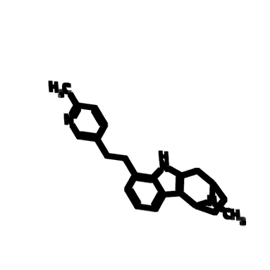 Cc1ccc(CCc2cccc3c4c([nH]c23)CC2CCC4N2C)cn1